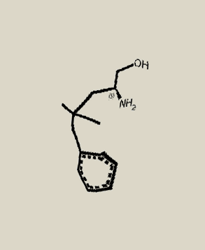 CC(C)(Cc1ccccc1)C[C@H](N)CO